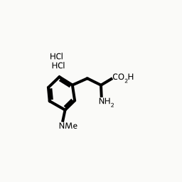 CNc1cccc(CC(N)C(=O)O)c1.Cl.Cl